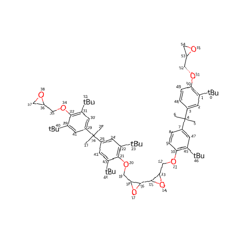 CC(C)(C)c1cc(C(C)(C)c2ccc(OCC3OC3C3OC3COc3c(C(C)(C)C)cc(C(C)(C)c4cc(C(C)(C)C)c(OCC5CO5)c(C(C)(C)C)c4)cc3C(C)(C)C)c(C(C)(C)C)c2)ccc1OCC1CO1